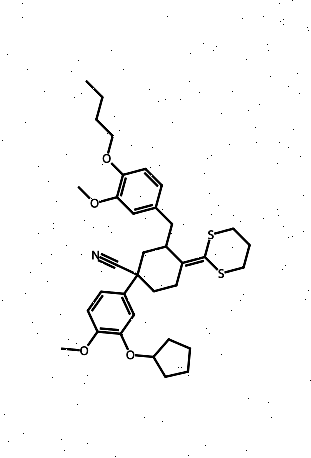 CCCCOc1ccc(CC2CC(C#N)(c3ccc(OC)c(OC4CCCC4)c3)CCC2=C2SCCCS2)cc1OC